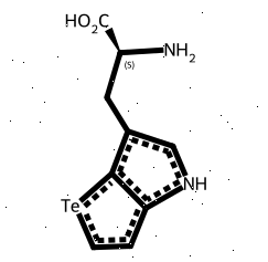 N[C@@H](Cc1c[nH]c2cc[te]c12)C(=O)O